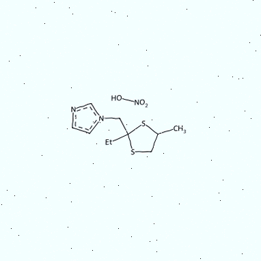 CCC1(Cn2ccnc2)SCC(C)S1.O=[N+]([O-])O